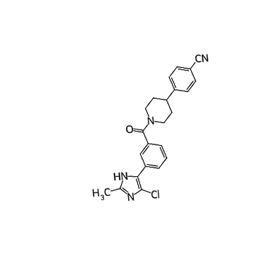 Cc1nc(Cl)c(-c2cccc(C(=O)N3CCC(c4ccc(C#N)cc4)CC3)c2)[nH]1